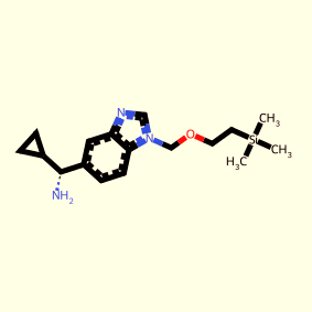 C[Si](C)(C)CCOCn1cnc2cc([C@H](N)C3CC3)ccc21